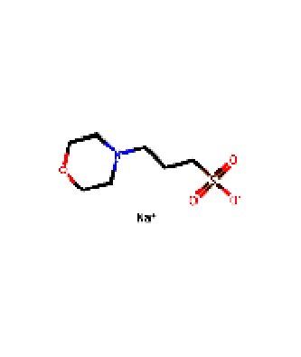 O=S(=O)([O-])CCCN1CCOCC1.[Na+]